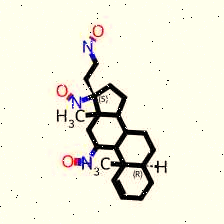 CC12C=CCC[C@@H]1CCC1C2C(N=O)CC2(C)C1CC[C@@]2(CCN=O)N=O